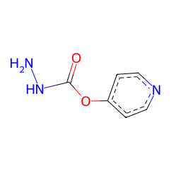 NNC(=O)Oc1ccncc1